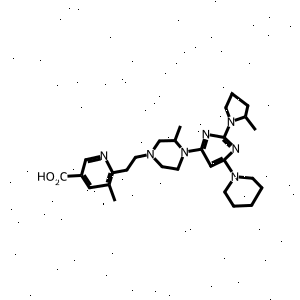 Cc1cc(C(=O)O)cnc1CCN1CCN(c2cc(N3CCCCC3)nc(N3CCCC3C)n2)C(C)C1